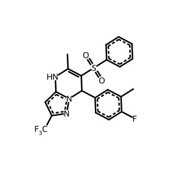 CC1=C(S(=O)(=O)c2ccccc2)C(c2ccc(F)c(C)c2)n2nc(C(F)(F)F)cc2N1